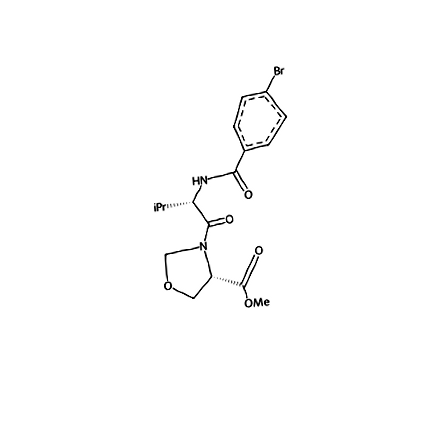 COC(=O)[C@@H]1COCN1C(=O)[C@@H](NC(=O)c1ccc(Br)cc1)C(C)C